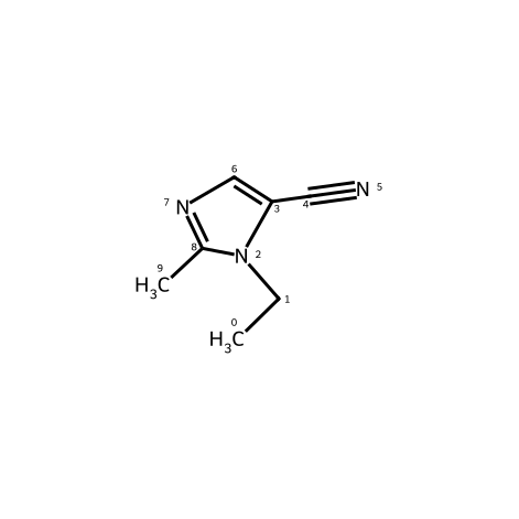 CCn1c(C#N)cnc1C